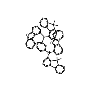 CC1(C)c2ccccc2-c2c(N(c3cccc(N(c4cccc5c4C(C)(C)c4ccccc4-5)c4cccc5c4oc4ccccc45)c3)c3cccc4oc5ccccc5c34)cccc21